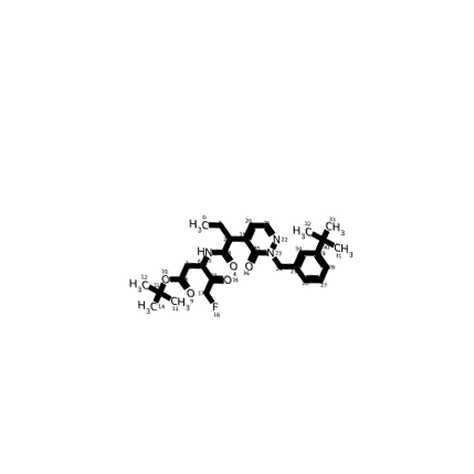 CCC(C(=O)NC(CC(=O)OC(C)(C)C)C(=O)CF)c1ccnn(Cc2cccc(C(C)(C)C)c2)c1=O